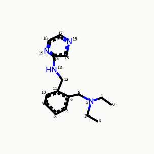 CCN(CC)Cc1ccccc1CNc1cnccn1